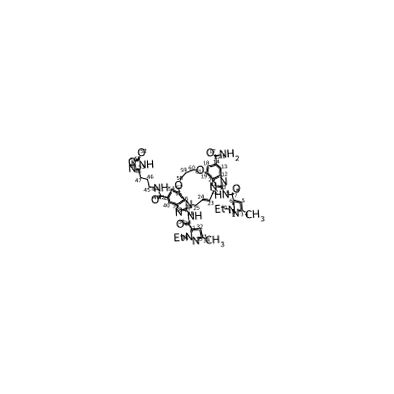 CCn1nc(C)cc1C(=O)Nc1nc2cc(C(N)=O)cc3c2n1C/C=C/Cn1c(NC(=O)c2cc(C)nn2CC)nc2cc(C(=O)NCCCc4noc(=O)[nH]4)cc(c21)OCCCO3